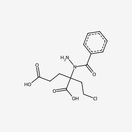 NN(C(=O)c1ccccc1)C(CCCl)(CCC(=O)O)C(=O)O